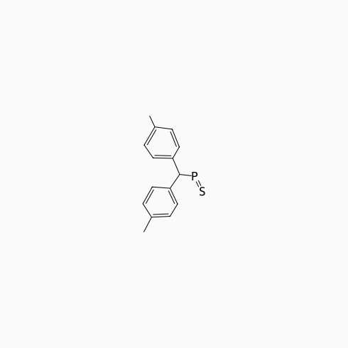 Cc1ccc(C(P=S)c2ccc(C)cc2)cc1